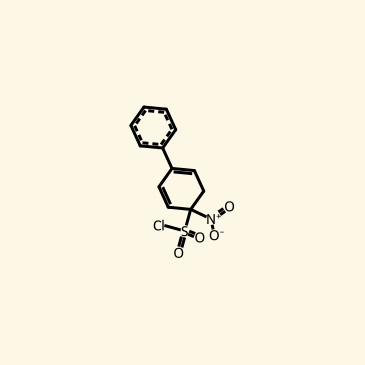 O=[N+]([O-])C1(S(=O)(=O)Cl)C=CC(c2ccccc2)=CC1